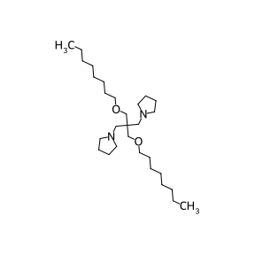 CCCCCCCCOCC(COCCCCCCCC)(CN1CCCC1)CN1CCCC1